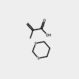 C1CSCSC1.C=C(C)C(=O)O